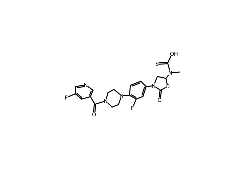 CN(C(O)=S)C1CN(c2ccc(N3CCN(C(=O)c4cncc(F)c4)CC3)c(F)c2)C(=O)O1